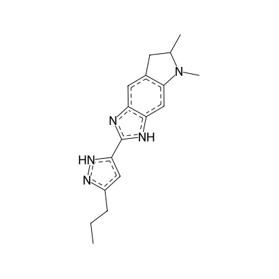 CCCc1cc(-c2nc3cc4c(cc3[nH]2)N(C)C(C)C4)[nH]n1